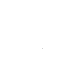 CC(C)C(=O)C1=CSCC1